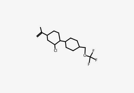 C=C(C)C1CCC(C2CCC(COC(F)(F)F)CC2)C(Cl)C1